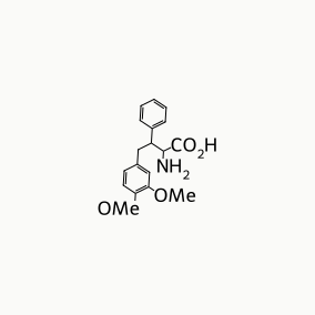 COc1ccc(CC(c2ccccc2)C(N)C(=O)O)cc1OC